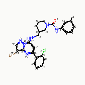 Cc1cccc(NC(=O)N2CCCC(CNc3cc(-c4ccccc4Cl)nc4c(Br)cnn34)C2)c1